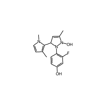 CC1=CC(c2c(C)ccn2C)N(c2ccc(O)cc2F)N1O